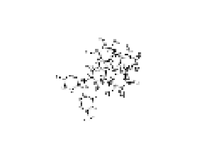 Cc1ccc([I+]c2ccc(C(C)C)cc2)cc1.Fc1c(F)c(F)c([B-](c2c(F)c(F)c(F)c(F)c2F)(c2c(F)c(F)c(F)c(F)c2F)c2c(F)c(F)c(F)c(F)c2F)c(F)c1F